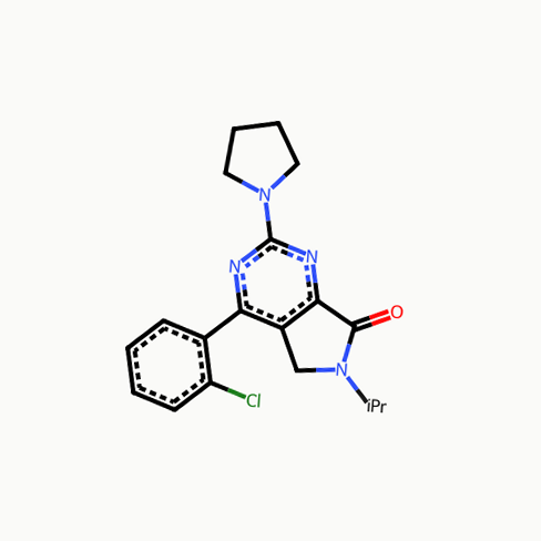 CC(C)N1Cc2c(nc(N3CCCC3)nc2-c2ccccc2Cl)C1=O